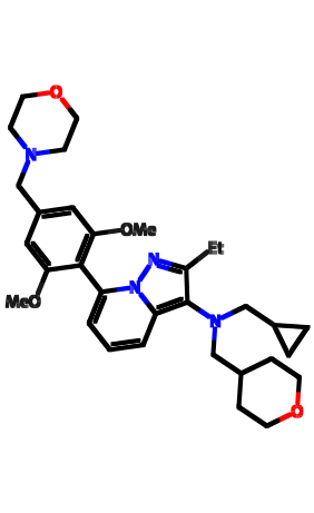 CCc1nn2c(-c3c(OC)cc(CN4CCOCC4)cc3OC)cccc2c1N(CC1CCOCC1)CC1CC1